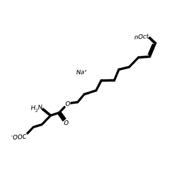 CCCCCCCC/C=C\CCCCCCCCOC(=O)C(N)CCC(=O)[O-].[Na+]